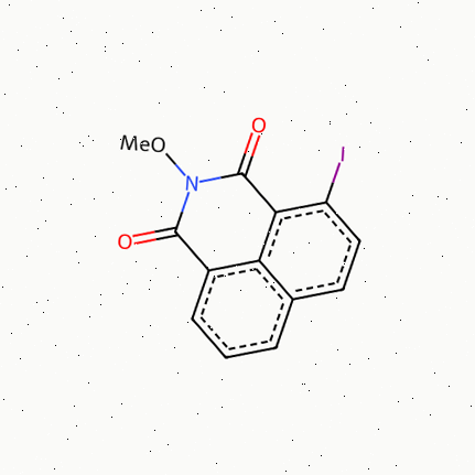 CON1C(=O)c2cccc3ccc(I)c(c23)C1=O